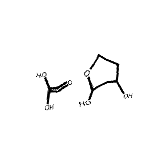 O=C(O)O.OC1CCOC1O